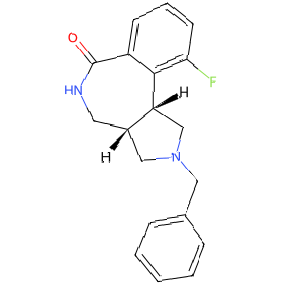 O=C1NC[C@H]2CN(Cc3ccccc3)C[C@H]2c2c(F)cccc21